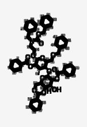 C[C@@H]1C(OC(=O)c2ccccc2)[C@H](OCCN(Cc2ccccc2)C(=O)OCc2ccccc2)OC(COCc2ccccc2)[C@H]1O[C@@H]1OC2COC(c3ccccc3)O[C@H]2[C@H](O)C1OC(=O)c1ccccc1